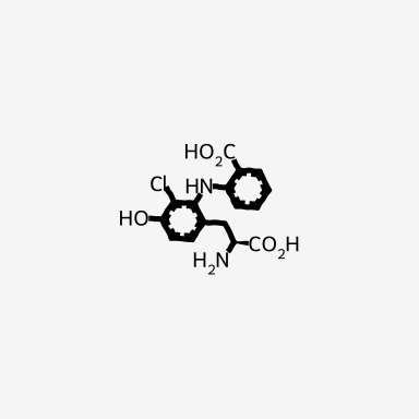 N[C@@H](Cc1ccc(O)c(Cl)c1Nc1ccccc1C(=O)O)C(=O)O